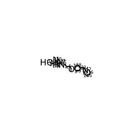 C[N+]1(NCCCOc2ccc(CN3CCCCC3)cc2)C=NC(CO)=N1